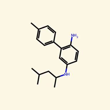 Cc1ccc(-c2cc(NC(C)CC(C)C)ccc2N)cc1